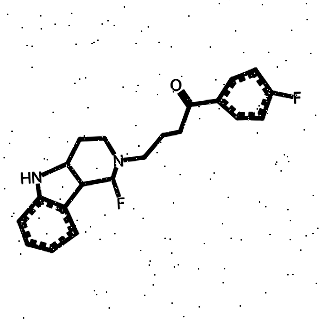 O=C(CCCN1CCC2Nc3ccccc3C2C1F)c1ccc(F)cc1